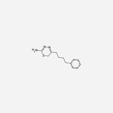 NC1=NN=C(CCCCc2ccccc2)CS1